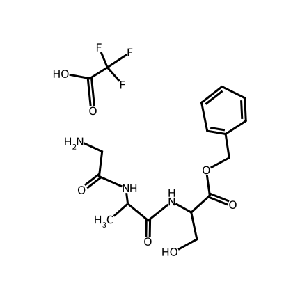 CC(NC(=O)CN)C(=O)NC(CO)C(=O)OCc1ccccc1.O=C(O)C(F)(F)F